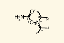 CC(C)=[N+](OC(N)=O)C(C)C